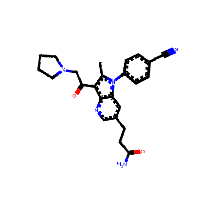 Cc1c(C(=O)CN2CCCC2)c2ncc(CCC(N)=O)cc2n1-c1ccc(C#N)cc1